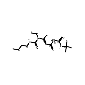 C=C(/C=C(\C)N(CC)C(=O)OCCCC)NC(=C)OC(C)(C)C